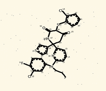 CCCN(c1ccc(F)c(Cl)c1)c1cccc(C2(c3ccsc3)CC(=O)C(Sc3ccccc3Cl)C(=O)N2)n1